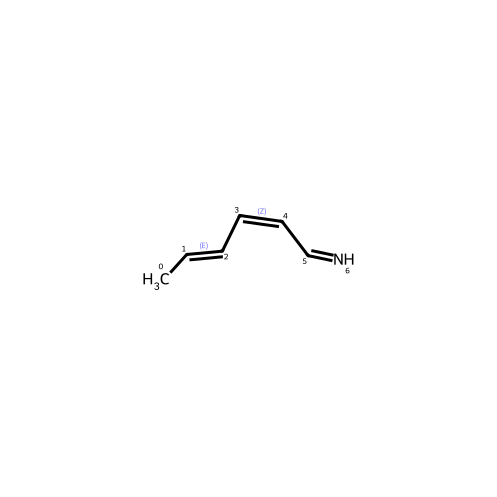 C/C=C/C=C\C=N